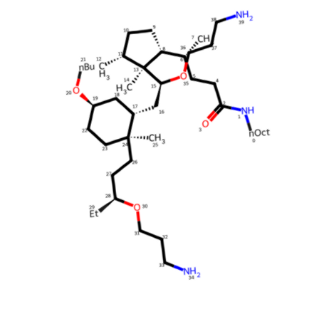 CCCCCCCCNC(=O)CC[C@@H](C)[C@H]1CC[C@@H](C)[C@]1(C)[C@H](C[C@H]1C[C@H](OCCCC)CC[C@]1(C)CC[C@H](CC)OCCCN)OCCCN